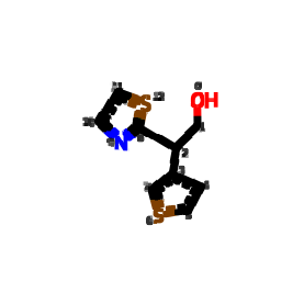 OCC(c1ccsc1)c1nccs1